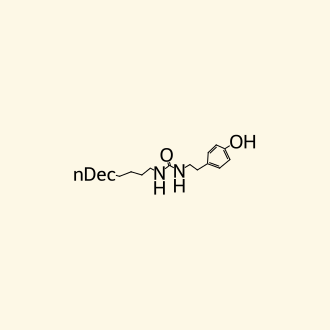 CCCCCCCCCCCCCCNC(=O)NCCc1ccc(O)cc1